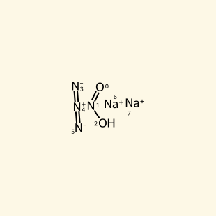 O=NO.[N-]=[N+]=[N-].[Na+].[Na+]